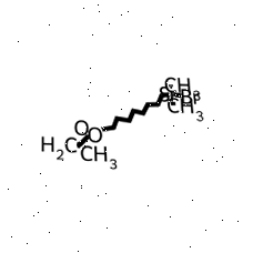 C=C(C)C(=O)OCCCCCCCCC[Si](C)(C)Br